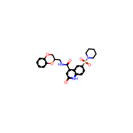 O=C(NCC1COc2ccccc2O1)c1cc(=O)[nH]c2ccc(S(=O)(=O)N3CCCCC3)cc12